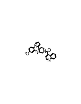 COc1ccc2c(c1)N(C)C1(CCN(C(=O)c3ccnc4ccccc34)CC1)c1cccn1-2